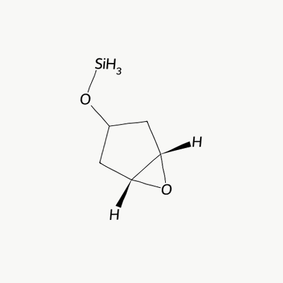 [SiH3]OC1C[C@@H]2O[C@@H]2C1